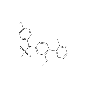 COc1cc(N(c2ccc(Cl)cc2)S(C)(=O)=O)ccc1-c1cncnc1C